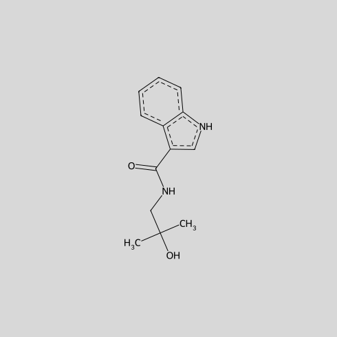 CC(C)(O)CNC(=O)c1c[nH]c2ccccc12